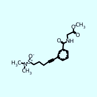 COC(=O)CNC(=O)c1cccc(C#CCCC[S+]([O-])N(C)C)c1